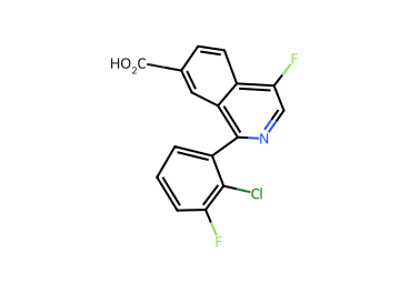 O=C(O)c1ccc2c(F)cnc(-c3cccc(F)c3Cl)c2c1